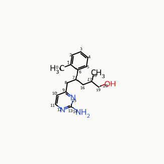 Cc1ccccc1C(Cc1ccnc(N)n1)CC(C)CO